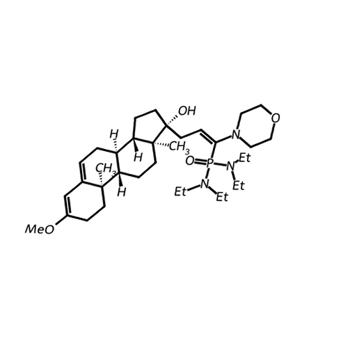 CCN(CC)P(=O)(C(=CC[C@]1(O)CC[C@H]2[C@@H]3CC=C4C=C(OC)CC[C@]4(C)[C@H]3CC[C@@]21C)N1CCOCC1)N(CC)CC